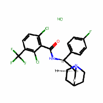 Cl.O=C(N[C@@H](c1ccc(F)cc1)[C@@H]1CC2CCN1CC2)c1c(Cl)ccc(C(F)(F)F)c1Cl